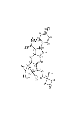 CNC(=O)c1c2cc(C3CC3)c(N(CCC3(F)COC3)S(C)(=O)=O)cc2nn1-c1ccc(Cl)cc1